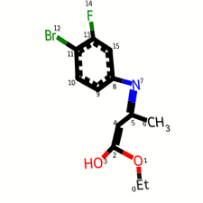 CCOC(O)=CC(C)=Nc1ccc(Br)c(F)c1